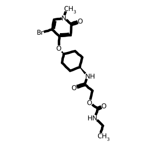 CCNC(=O)OCC(=O)N[C@H]1CC[C@H](Oc2cc(=O)n(C)cc2Br)CC1